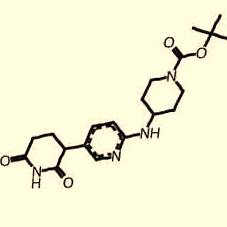 CC(C)(C)OC(=O)N1CCC(Nc2ccc(C3CCC(=O)NC3=O)cn2)CC1